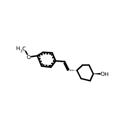 COc1ccc(C=C[C@H]2CC[C@H](O)CC2)cc1